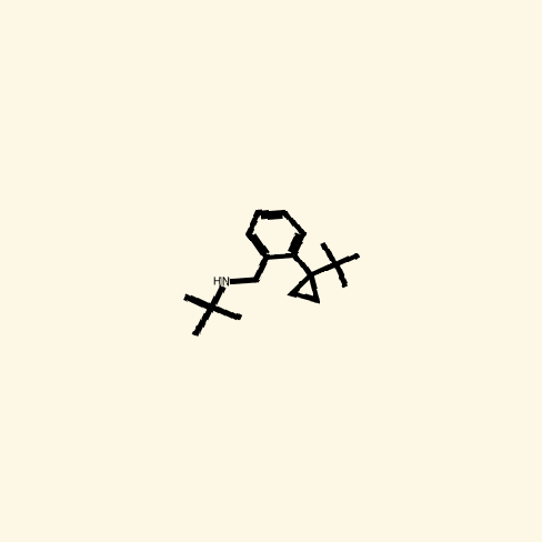 CC(C)(C)NCc1ccccc1C1(C(C)(C)C)CC1